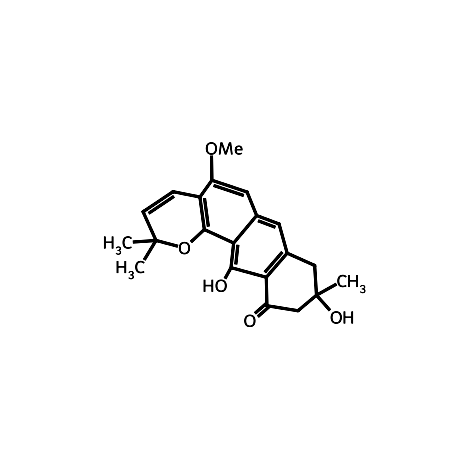 COc1cc2cc3c(c(O)c2c2c1C=CC(C)(C)O2)C(=O)CC(C)(O)C3